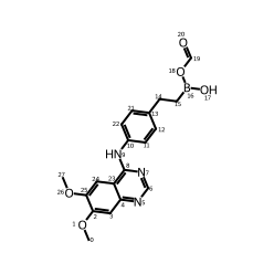 COc1cc2ncnc(Nc3ccc(CCB(O)OC=O)cc3)c2cc1OC